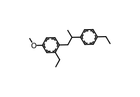 CCc1ccc(C(C)Cc2ccc(OC)cc2CC)cc1